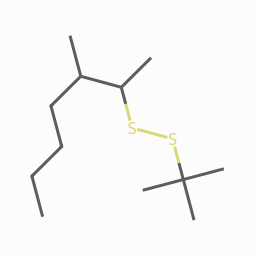 CCCCC(C)C(C)SSC(C)(C)C